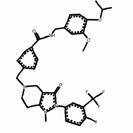 COc1cc(CNC(=O)c2ccc(CN3CCc4c(c(=O)n(-c5ccc(F)c(C(F)(F)F)c5)n4C)C3)cc2)ccc1OC(C)C